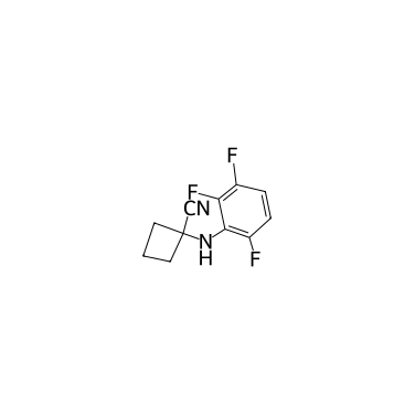 N#CC1(Nc2c(F)ccc(F)c2F)CCC1